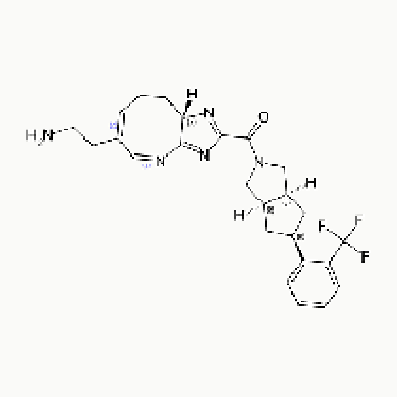 NCCC1=C/CC[C@@H]2N=C(C(=O)N3C[C@H]4C[C@@H](c5ccccc5C(F)(F)F)C[C@H]4C3)N=C2/N=C\1